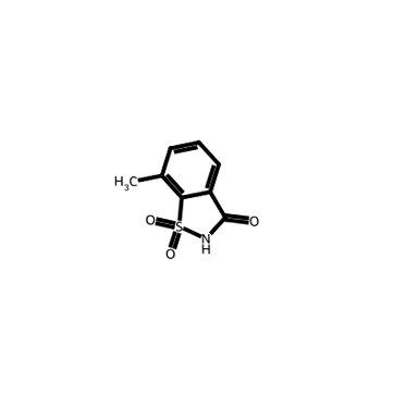 Cc1cccc2c1S(=O)(=O)NC2=O